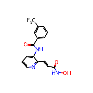 O=C(C=Cc1ncccc1NC(=O)c1cccc(C(F)(F)F)c1)NO